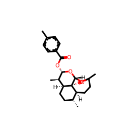 Cc1ccc(C(=O)O[C@@H]2O[C@@H]3OC4(C)CC[C@H]5[C@H](C)CC[C@@H]([C@H]2C)[C@@]35OO4)cc1